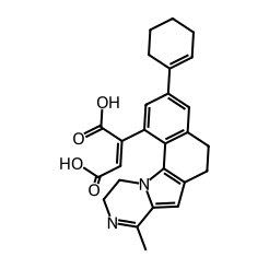 CC1=NCCn2c1cc1c2-c2c(cc(C3=CCCCC3)cc2C(=CC(=O)O)C(=O)O)CC1